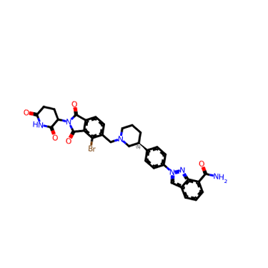 NC(=O)c1cccc2cn(-c3ccc([C@@H]4CCCN(Cc5ccc6c(c5Br)C(=O)N(C5CCC(=O)NC5=O)C6=O)C4)cc3)nc12